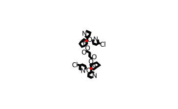 O=C(/C=C/C(=O)OC12CCC(CC(Oc3ccc(Cl)cn3)C1)N2Cc1cccnc1)OC12CCC(CC(Oc3ccc(Cl)cn3)C1)N2Cc1cccnc1